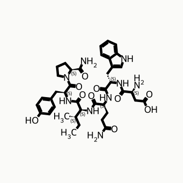 CC[C@H](C)[C@H](NC(=O)[C@H](CCC(N)=O)NC(=O)[C@H](Cc1c[nH]c2ccccc12)NC(=O)[C@@H](N)CC(=O)O)C(=O)N[C@@H](Cc1ccc(O)cc1)C(=O)N1CCC[C@H]1C(N)=O